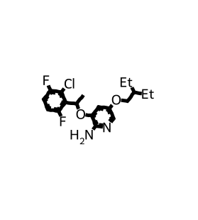 CCC(CC)COc1cnc(N)c(OC(C)c2c(F)ccc(F)c2Cl)c1